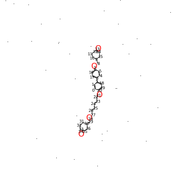 c1cc(-c2ccc(OCC3CCC4OC4C3)cc2)ccc1OCCCCCCOCC1CCC2OC2C1